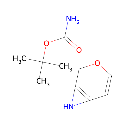 C1=CC2=C(CO1)N2.CC(C)(C)OC(N)=O